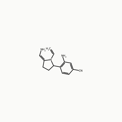 C=CN1/C(=C\N)CCC1c1ccc(C#N)cc1N